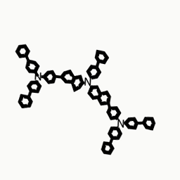 c1ccc(-c2ccc(N(c3ccc(-c4ccccc4)cc3)c3ccc(-c4ccc5cc(N(c6ccc(-c7ccccc7)cc6)c6ccc7cc(-c8ccc(N(c9ccc(-c%10ccccc%10)cc9)c9ccc(-c%10ccccc%10)cc9)cc8)ccc7c6)ccc5c4)cc3)cc2)cc1